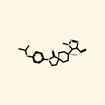 C=CC1N=NN(C)C1[C@]1(O)CC[C@]2(CCN(c3ccc(OC(C)C)cc3)C2=O)CC1